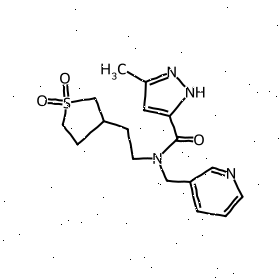 Cc1cc(C(=O)N(CCC2CCS(=O)(=O)C2)Cc2cccnc2)[nH]n1